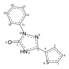 O=c1[nH]c(-c2cccs2)nn1-c1ccccc1